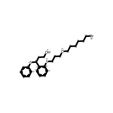 OCCC(Sc1ccccc1)c1ccccc1SCCCOCCCCCCBr